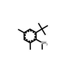 C[SiH2]c1c(C)cc(C)cc1C(C)(C)C